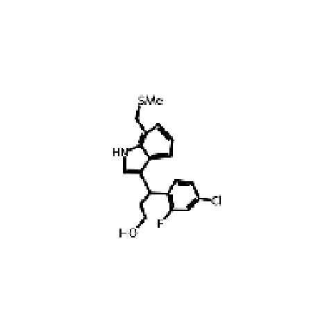 CSCc1cccc2c(C(CCO)c3ccc(Cl)cc3F)c[nH]c12